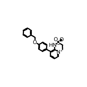 O=S1(=O)CC[n+]2cccc(-c3ccc(OCc4ccccc4)cc3)c2N1